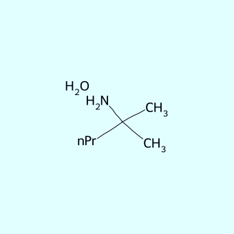 CCCC(C)(C)N.O